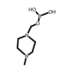 CN1CCN(COB(O)O)CC1